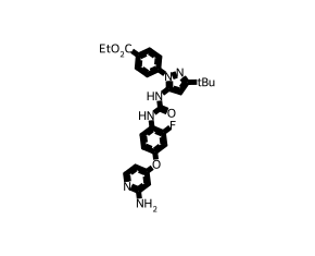 CCOC(=O)c1ccc(-n2nc(C(C)(C)C)cc2NC(=O)Nc2ccc(Oc3ccnc(N)c3)cc2F)cc1